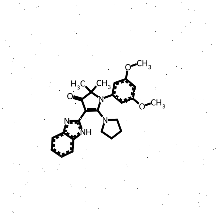 COc1cc(OC)cc(N2C(N3CCCC3)=C(c3nc4ccccc4[nH]3)C(=O)C2(C)C)c1